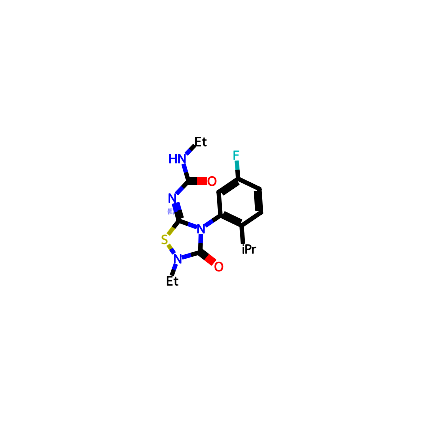 CCNC(=O)/N=c1/sn(CC)c(=O)n1-c1cc(F)ccc1C(C)C